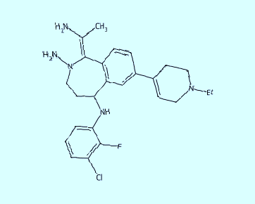 CCN1CC=C(c2ccc3c(c2)C(Nc2cccc(Cl)c2F)CCN(N)/C3=C(/C)N)CC1